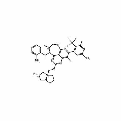 Cc1nc(N)cc(-c2nc3c4c(nc(OC[C@@]56CCCN5C[C@H](F)C6)nc4c2F)N(C(C)c2cccnc2N)[C@@H](C)CO3)c1C(F)(F)F